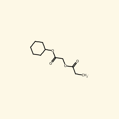 [CH2]CC(=O)OCC(=O)OC1CCCCC1